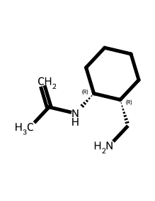 C=C(C)N[C@@H]1CCCC[C@@H]1CN